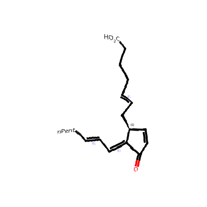 CCCCC/C=C/C=C1/C(=O)C=C[C@@H]1C/C=C/CCCC(=O)O